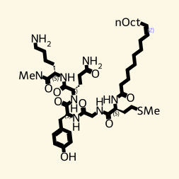 CCCCCCCC/C=C\CCCCCCCC(=O)N[C@@H](CCSC)C(=O)NCC(=O)N[C@@H](Cc1ccc(O)cc1)C(=O)N[C@@H](CCC(N)=O)C(=O)N[C@@H](CCCCN)C(=O)NC